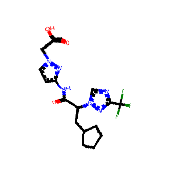 O=C(O)Cn1ccc(NC(=O)C(CC2CCCC2)n2cnc(C(F)(F)F)n2)n1